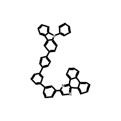 c1ccc(-n2c3ccccc3c3cc(-c4ccc(-c5cccc(-c6cccc(-c7cnc8c9ccccc9c9ccccc9c8n7)c6)c5)cc4)ccc32)cc1